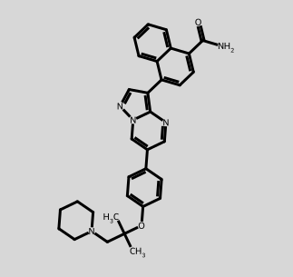 CC(C)(CN1CCCCC1)Oc1ccc(-c2cnc3c(-c4ccc(C(N)=O)c5ccccc45)cnn3c2)cc1